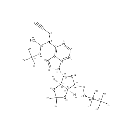 C#CCN(c1ncnc2c1ncn2[C@@H]1O[C@H](CO[Si](C)(C)C(C)(C)C)[C@H]2OC(C)(C)O[C@H]21)C(O)OC(C)(C)C